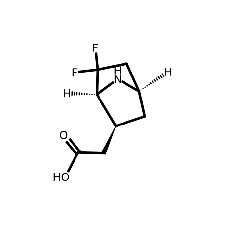 O=C(O)C[C@@H]1C[C@@H]2CC(F)(F)[C@H]1N2